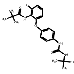 CC(C)(C)NC(=O)Nc1ccc(Oc2cccc(F)c2NC(=O)C(C)(C)C)cc1